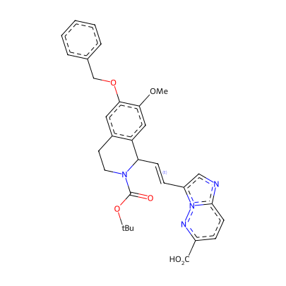 COc1cc2c(cc1OCc1ccccc1)CCN(C(=O)OC(C)(C)C)C2/C=C/c1cnc2ccc(C(=O)O)nn12